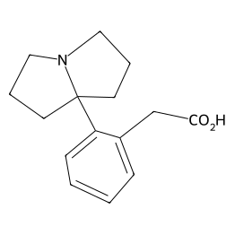 O=C(O)Cc1ccccc1C12CCCN1CCC2